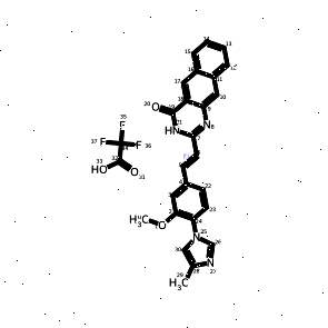 COc1cc(/C=C/c2nc3cc4ccccc4cc3c(=O)[nH]2)ccc1-n1cnc(C)c1.O=C(O)C(F)(F)F